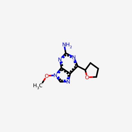 COn1cnc2c(C3CCCO3)nc(N)nc21